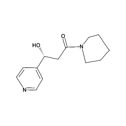 O=C(C[C@@H](O)c1ccncc1)N1CCCCC1